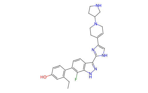 CCc1cc(O)ccc1-c1ccc2c(-c3nc(C4=CCN(C5CCNC5)CC4)c[nH]3)n[nH]c2c1F